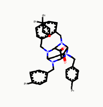 CC(C)c1ccc(CN2C3C(=O)C4N(Cc5ccc(C(C)C)cc5)C2C(=O)C(N3Cc2ccc(C(C)C)cc2)N4Cc2ccc(C(C)C)cc2)cc1